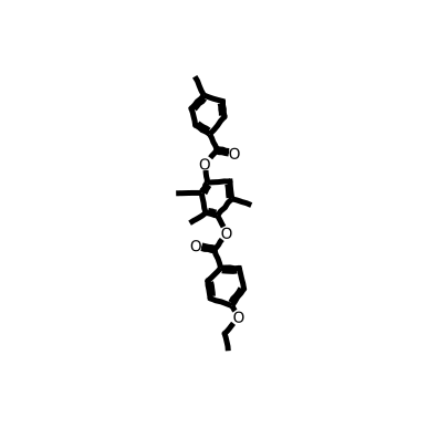 CCOc1ccc(C(=O)Oc2c(C)cc(OC(=O)c3ccc(C)cc3)c(C)c2C)cc1